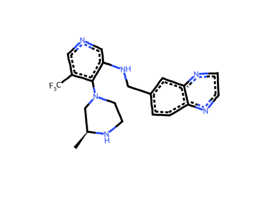 C[C@H]1CN(c2c(NCc3ccc4nccnc4c3)cncc2C(F)(F)F)CCN1